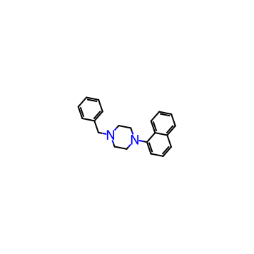 c1ccc(CN2CCN(c3cccc4ccccc34)CC2)cc1